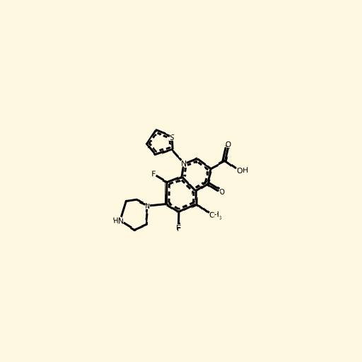 Cc1c(F)c(N2CCNCC2)c(F)c2c1c(=O)c(C(=O)O)cn2-c1cccs1